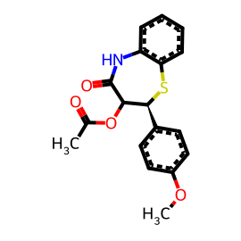 COc1ccc([C@@H]2Sc3ccccc3NC(=O)C2OC(C)=O)cc1